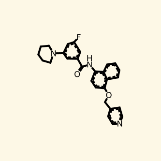 O=C(Nc1ccc(OCc2ccncc2)c2ccccc12)c1cc(F)cc(N2CCCCC2)c1